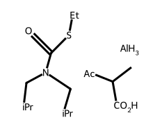 CC(=O)C(C)C(=O)O.CCSC(=O)N(CC(C)C)CC(C)C.[AlH3]